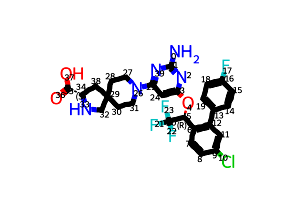 Nc1nc(O[C@H](c2ccc(Cl)cc2-c2ccc(F)cc2)C(F)(F)F)cc(N2CCC3(CC2)CN[C@H](C(=O)O)C3)n1